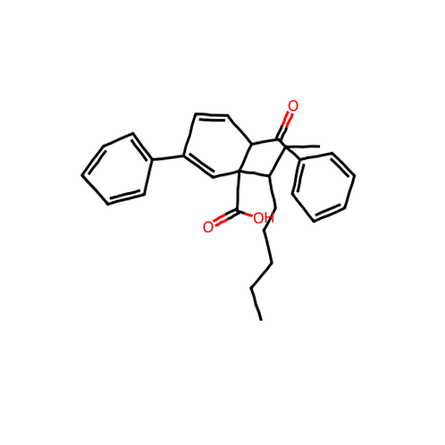 CCCCCC(CC)C1(C(=O)O)C=C(c2ccccc2)C=CC1C(=O)c1ccccc1